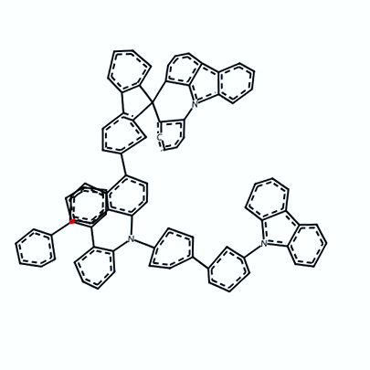 c1ccc(-c2ccccc2-c2ccccc2N(c2ccc(-c3cccc(-n4c5ccccc5c5ccccc54)c3)cc2)c2ccc(-c3ccc4c(c3)C3(c5ccccc5-4)c4ccccc4-n4c5ccccc5c5cccc3c54)c3ccccc23)cc1